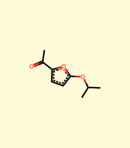 CC(=O)c1ccc(OC(C)C)o1